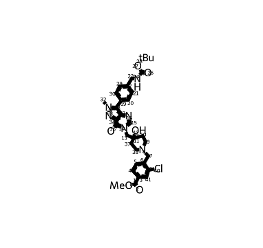 COC(=O)c1ccc(CN2CCC(O)(Cn3cnc4c(-c5ccc(CNC(=O)OC(C)(C)C)cc5)n(C)nc4c3=O)CC2)c(Cl)c1